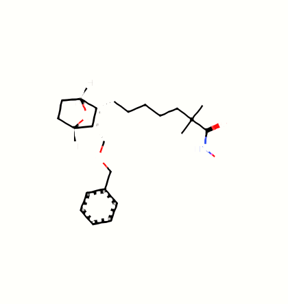 CC(C)(CCCCC[C@@H]1[C@H](COCc2ccccc2)[C@@H]2CC[C@H]1O2)C(=O)NO